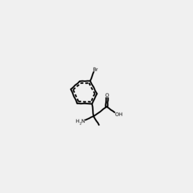 CC(N)(C(=O)O)c1cccc(Br)c1